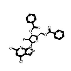 O=C(OC[C@H]1O[C@@H](n2ncc3c(Cl)cc(Cl)nc32)[C@@H](F)[C@@H]1OC(=O)c1ccccc1)c1ccccc1